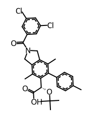 Cc1ccc(-c2c(C)c3c(c(C)c2[C@H](OC(C)(C)C)C(=O)O)CN(C(=O)c2cc(Cl)cc(Cl)c2)C3)cc1